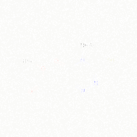 CC(=O)Nn1c(S)nnc(CC(=O)OC(C)(C)C)c1=O